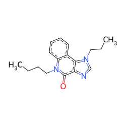 CCCCn1c(=O)c2ncn(CCC)c2c2ccccc21